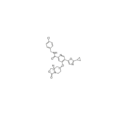 O=C(NCc1ccc(Cl)cc1)c1cc(O[C@H]2CCN3C(=O)OC[C@@H]3C2)c(-c2cnc(C3CC3)o2)cn1